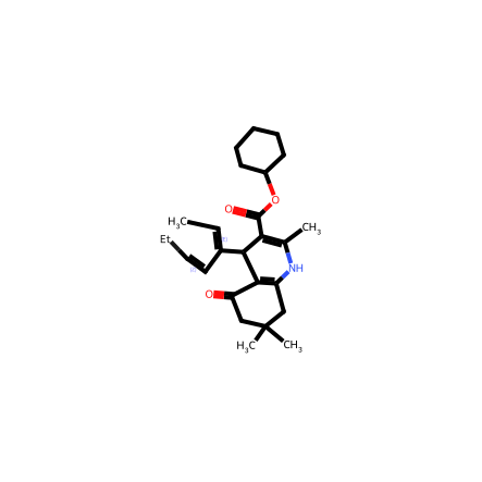 C/C=C(\C=C/CC)C1C(C(=O)OC2CCCCC2)=C(C)NC2=C1C(=O)CC(C)(C)C2